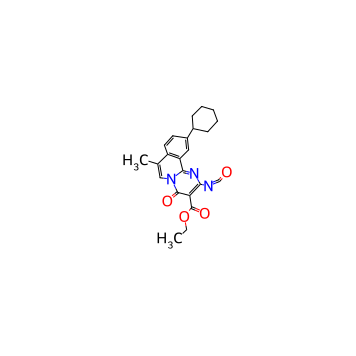 CCOC(=O)c1c(N=C=O)nc2c3cc(C4CCCCC4)ccc3c(C)cn2c1=O